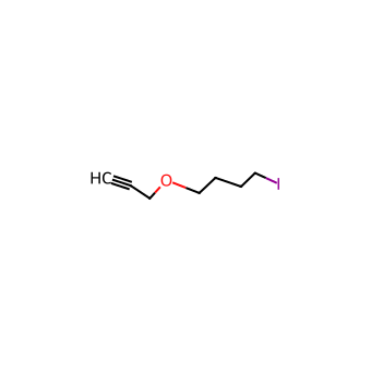 C#CCOCCCCI